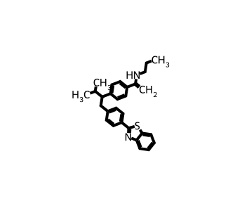 C=C(NCCC)c1ccc(C(Cc2ccc(-c3nc4ccccc4s3)cc2)C(C)C)cc1